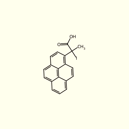 CC(I)(C(=O)O)c1ccc2ccc3cccc4ccc1c2c34